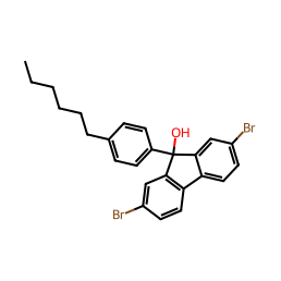 CCCCCCc1ccc(C2(O)c3cc(Br)ccc3-c3ccc(Br)cc32)cc1